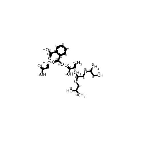 C=CC(=O)O.C=CC(=O)O.CC(O)COC(C)COC(C)CO.O=C(O)c1ccccc1C(=O)O